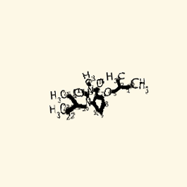 CCC(CC)COc1cccc2c1c(=O)n(C)c(=O)n2CC(CC)CC